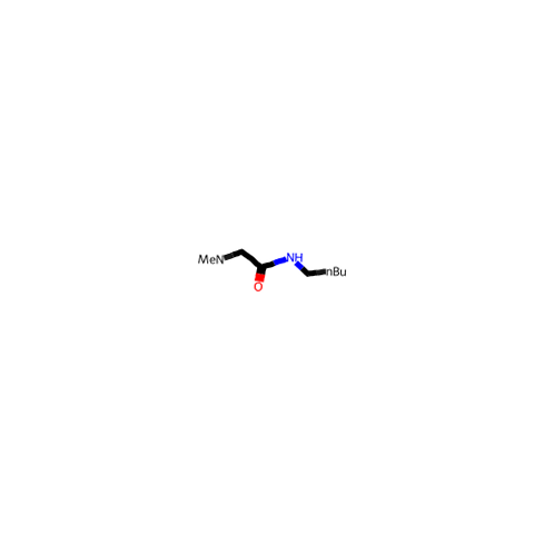 CCCCCNC(=O)CNC